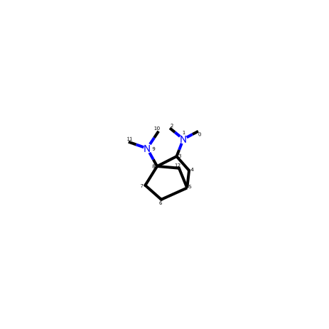 CN(C)C1CC2CCC1(N(C)C)C2